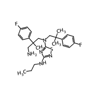 CCCNc1nsc(N(CC(C)(C)c2ccc(F)cc2)CC(C)(CN)c2ccc(F)cc2)n1